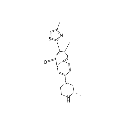 Cc1csc(/C2=C/C(=O)N3C=C(N4CCN[C@@H](C)C4)C=C/C3=C\CC2C)n1